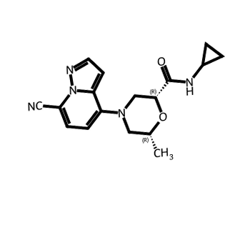 C[C@@H]1CN(c2ccc(C#N)n3nccc23)C[C@H](C(=O)NC2CC2)O1